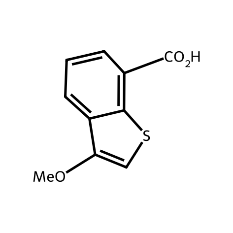 COc1csc2c(C(=O)O)cccc12